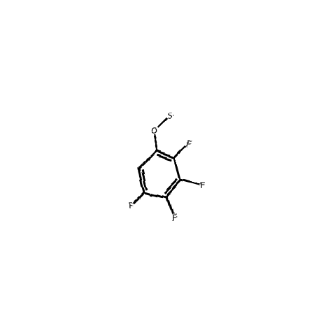 Fc1cc(O[S])c(F)c(F)c1F